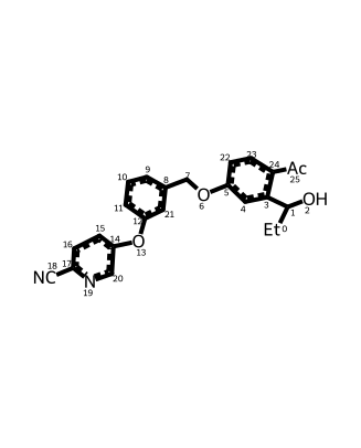 CCC(O)c1cc(OCc2cccc(Oc3ccc(C#N)nc3)c2)ccc1C(C)=O